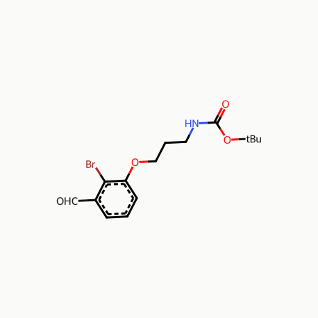 CC(C)(C)OC(=O)NCCCOc1cccc(C=O)c1Br